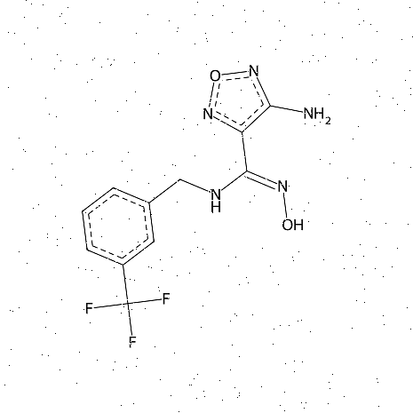 Nc1nonc1/C(=N/O)NCc1cccc(C(F)(F)F)c1